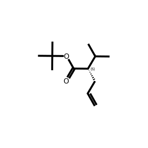 C=CC[C@@H]([C](C)C)C(=O)OC(C)(C)C